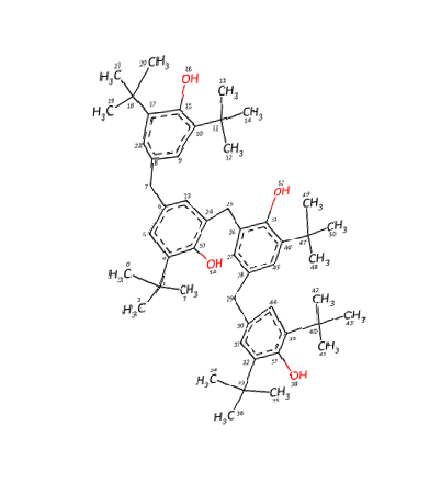 CC(C)(C)c1cc(Cc2cc(C(C)(C)C)c(O)c(C(C)(C)C)c2)cc(Cc2cc(Cc3cc(C(C)(C)C)c(O)c(C(C)(C)C)c3)cc(C(C)(C)C)c2O)c1O